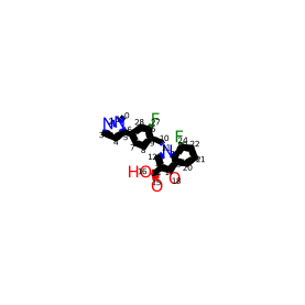 Cn1nccc1-c1ccc(Cn2cc(C(=O)O)c(=O)c3cccc(F)c32)c(F)c1